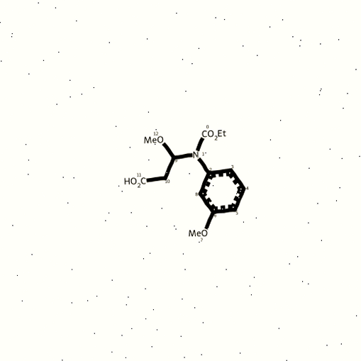 CCOC(=O)N(c1cccc(OC)c1)C(CC(=O)O)OC